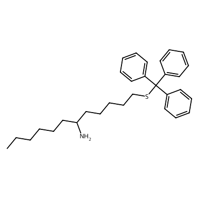 CCCCCCC(N)CCCCCSC(c1ccccc1)(c1ccccc1)c1ccccc1